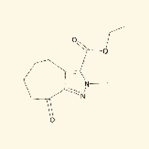 CCOC(=O)c1c2c(nn1C)C(=O)CCCC2